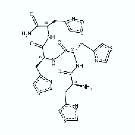 NC(=O)[C@@H](Cc1cscn1)NC(=O)[C@H](Cc1cscn1)NC(=O)[C@H](Cc1cscn1)NC(=O)[C@@H](N)Cc1cscn1